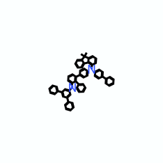 CC1(C)c2ccccc2-c2c(N(c3ccc(-c4ccccc4)cc3)c3ccc(-c4cccc5c4c4ccccc4n5-c4cc(-c5ccccc5)cc(-c5ccccc5)c4)cc3)cccc21